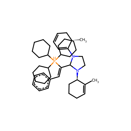 CC1=CCCC[C@H]1N1CCN(C2=CC=CC[C@@H]2C)C1/C(=C/c1ccccc1)[PH](C1CCCCC1)(C1CCCCC1)C1CCCCC1